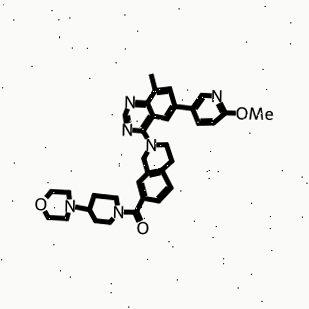 COc1ccc(-c2cc(C)c3ncnc(N4CCc5ccc(C(=O)N6CCC(N7CCOCC7)CC6)cc5C4)c3c2)cn1